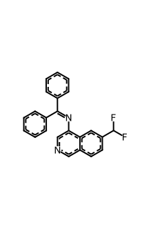 FC(F)c1ccc2cncc(N=C(c3ccccc3)c3ccccc3)c2c1